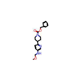 COCNc1ccc(C2CCN(C(=O)OCc3ccccc3)CC2)nc1